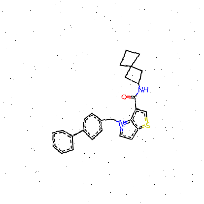 O=C(NC1CC2(CCC2)C1)c1csc2ccn(Cc3ccc(-c4ccccc4)cc3)c12